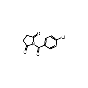 O=C1CCC(=O)N1C(=O)c1ccc(Cl)cc1